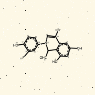 O=CC1c2c(O)cc(O)cc2C(Br)=CN1c1ccc(O)c(F)c1